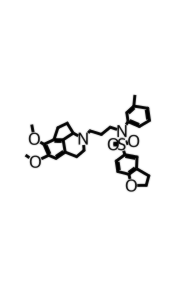 COc1cc2c3c(c1OC)CCC3N(CCCN(c1cccc(C)c1)S(=O)(=O)c1ccc3c(c1)CCO3)CC2